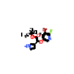 CC(C)(C)OC(=O)C(Oc1cnc(F)c(Br)c1)[C@H]1CCNC1